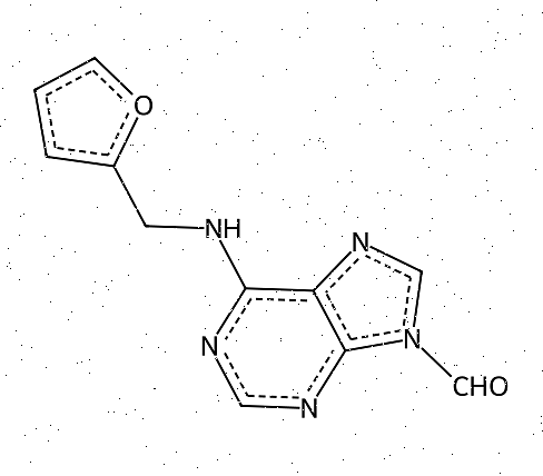 O=Cn1cnc2c(NCc3ccco3)ncnc21